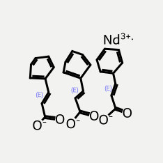 O=C([O-])/C=C/c1ccccc1.O=C([O-])/C=C/c1ccccc1.O=C([O-])/C=C/c1ccccc1.[Nd+3]